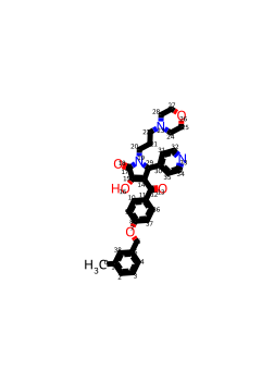 Cc1cccc(COc2ccc(C(=O)C3=C(O)C(=O)N(CCCN4CCOCC4)C3c3ccncc3)cc2)c1